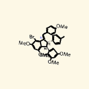 COc1ccc(/C=C2/c3c(Br)c(OC)cc(OC)c3[C@H](c3cc(OC)cc(OC)c3Br)[C@H]2c2ccc(C)cc2)cc1